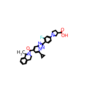 C[C@@H]1c2ccccc2CCN1C(=O)c1cc(C2CC2)n2nc(-c3ccc(N4CCC(C(=O)O)C4)cc3F)nc2c1